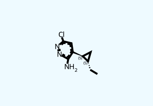 CC[C@H]1C[C@@H]1c1cc(Cl)nnc1N